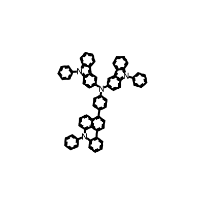 c1ccc(N2c3ccccc3-c3ccc(-c4ccc(N(c5ccc6c(c5)c5ccccc5n6-c5ccccc5)c5ccc6c(c5)c5ccccc5n6-c5ccccc5)cc4)c4cccc2c34)cc1